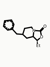 CC[C@@H]1OC(=O)N2CCC(Cc3ccccc3)CC12